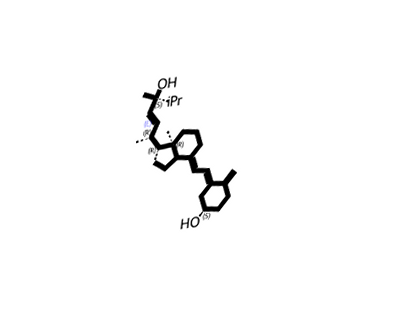 C=C1CC[C@H](O)CC1=CC=C1CCC[C@@]2(C)C1CC[C@@H]2[C@H](C)/C=C/[C@@](C)(O)C(C)C